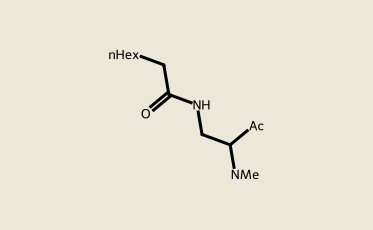 CCCCCCCC(=O)NCC(NC)C(C)=O